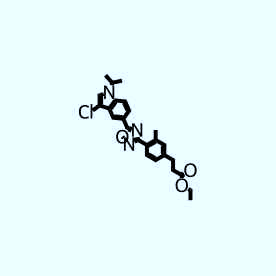 CCOC(=O)CCc1ccc(-c2noc(-c3ccc4c(c3)c(Cl)cn4C(C)C)n2)c(C)c1